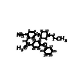 CCCN1CCN(c2ccc(C#N)c(CN(C)c3ccc(Oc4ccccc4)cc3)c2)CC1